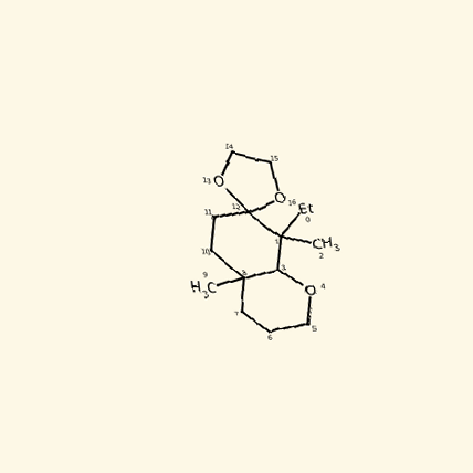 CCC1(C)C2OCCCC2(C)CCC12OCCO2